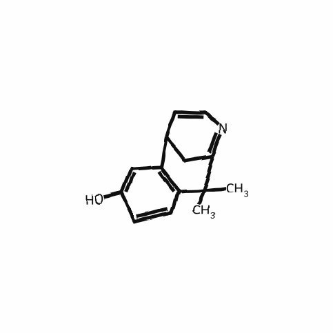 CC1(C)C2=NC=CC(C2)c2cc(O)ccc21